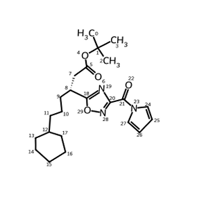 CC(C)(C)OC(=O)C[C@@H](CCCC1CCCCC1)c1nc(C(=O)n2cccc2)no1